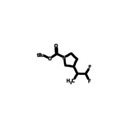 CC(C(F)F)C1CCN(C(=O)OC(C)(C)C)C1